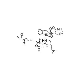 C=CC(=O)NCCOCCC(=O)N[C@@H](CO)C(=O)NC(CCCCN(C)C)C(=O)N[C@@H](Cc1ccccc1)C(=O)NC(CC(C)C)C(N)=O